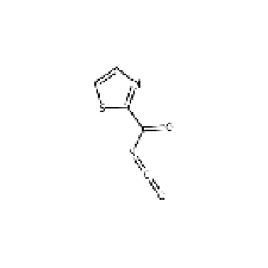 O=C=NC(=O)c1nccs1